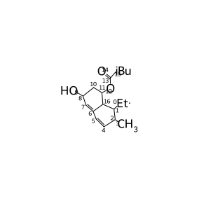 C[CH]C1C(C)C=CC2=CC(O)CC(OC(=O)C(C)CC)C21